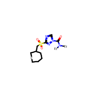 CCN(CC)C(=O)n1cnc(S(=O)(=O)CC2CCCCCC2)n1